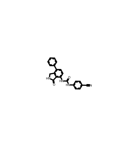 N#Cc1ccc(NC(=O)Nc2ccc(-c3ccccc3)c3c2C(=O)NC3)cc1